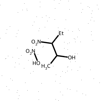 CCC(C(C)O)[N+](=O)[O-].O=[N+]([O-])O